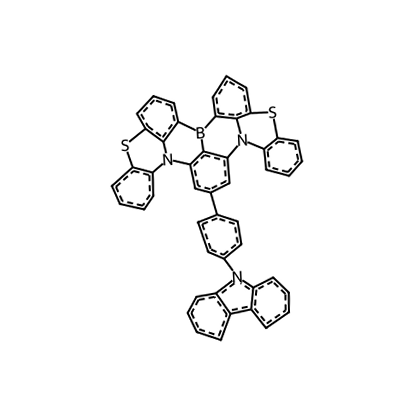 c1ccc2c(c1)Sc1cccc3c1N2c1cc(-c2ccc(-n4c5ccccc5c5ccccc54)cc2)cc2c1B3c1cccc3c1N2c1ccccc1S3